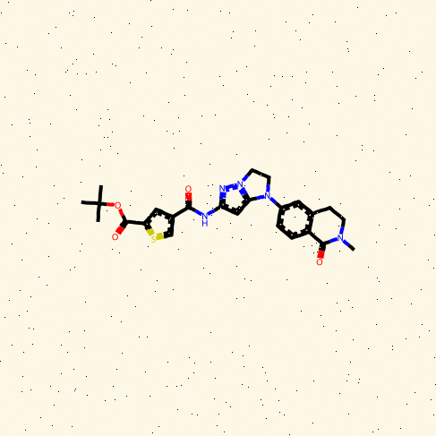 CN1CCc2cc(N3CCn4nc(NC(=O)c5csc(C(=O)OC(C)(C)C)c5)cc43)ccc2C1=O